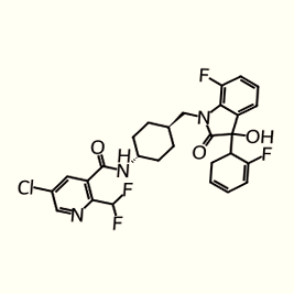 O=C(N[C@H]1CC[C@H](CN2C(=O)C(O)(C3CC=CC=C3F)c3cccc(F)c32)CC1)c1cc(Cl)cnc1C(F)F